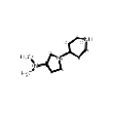 CN(C)C1CCN(C2CCNCC2)C1